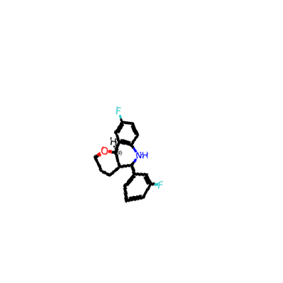 Fc1cccc(C2Nc3ccc(F)cc3[C@@H]3OCCCC23)c1